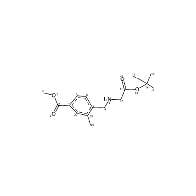 COC(=O)c1ccc(CNCC(=O)OC(C)(C)C)c(C)c1